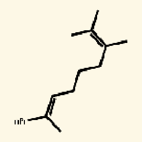 CCCC(C)=CCCCC(C)=C(C)C